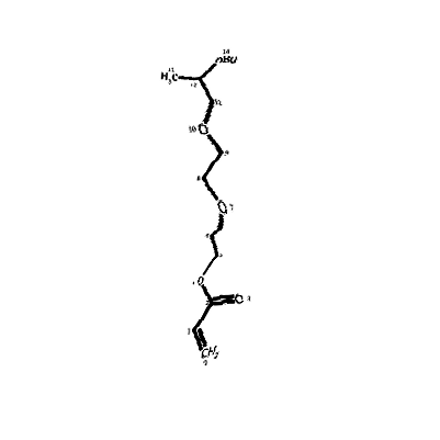 C=CC(=O)OCCOCCOCC(C)CCCC